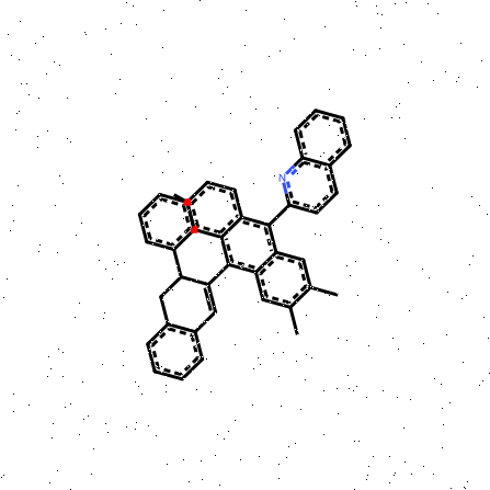 Cc1ccc2c(-c3ccc4ccccc4n3)c3cc(C)c(C)cc3c(C3=Cc4ccccc4CC3c3ccccc3)c2c1